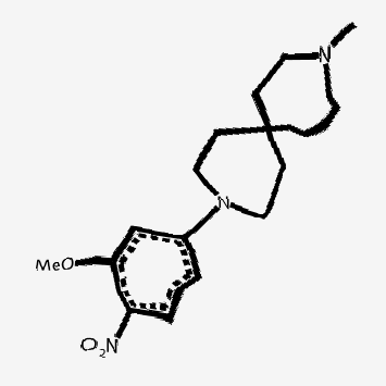 COc1cc(N2CCC3(CCN(C)CC3)CC2)ccc1[N+](=O)[O-]